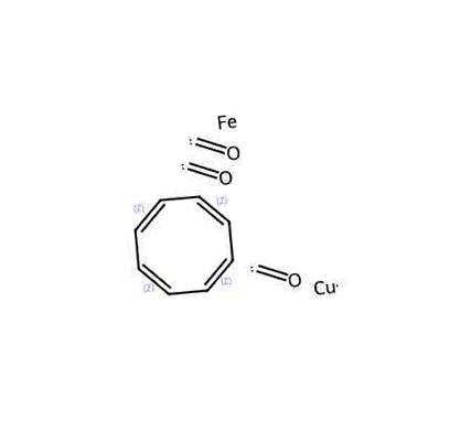 C1=C\C=C/C=C\C=C/1.[C]=O.[C]=O.[C]=O.[Cu].[Fe]